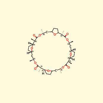 C[C@@H]1CC2CCC(O2)[C@H](C)C(=O)O[C@@H](C)C[C@@H]2CC[C@@H](O2)[C@@H](C)C(=O)O[C@H](C)CC2CC[C@H](O2)[C@H](C)C(=O)O[C@@H](C)C[C@@H]2CC[C@@H](O2)[C@@H](C)C(=O)O1